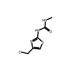 CNC(=O)Nc1nc(CCl)cs1